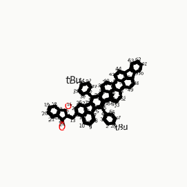 CC(C)(C)c1ccc(-c2c3c4cccc5c(C=C6C(=O)c7ccccc7C6=O)ccc(c3c(-c3ccc(C(C)(C)C)cc3)c3c6ccc7c8ccc9c%10c(ccc(c%11ccc(c23)c6c%117)c%108)-c2ccccc2-9)c54)cc1